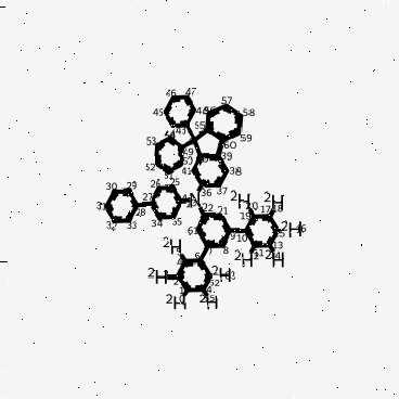 [2H]c1c([2H])c([2H])c(-c2cc(-c3c([2H])c([2H])c([2H])c([2H])c3[2H])cc(N(c3ccc(-c4ccccc4)cc3)c3ccc4c(c3)C(c3ccccc3)(c3ccccc3)c3ccccc3-4)c2)c([2H])c1[2H]